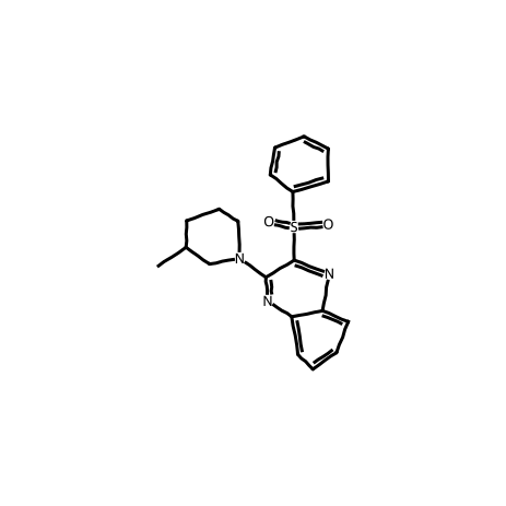 CC1CCCN(c2nc3ccccc3nc2S(=O)(=O)c2ccccc2)C1